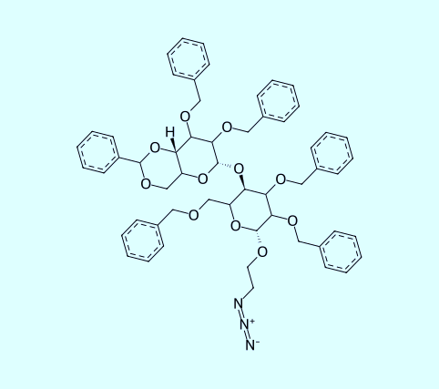 [N-]=[N+]=NCCO[C@@H]1OC(COCc2ccccc2)[C@@H](O[C@@H]2OC3COC(c4ccccc4)O[C@@H]3C(OCc3ccccc3)C2OCc2ccccc2)C(OCc2ccccc2)C1OCc1ccccc1